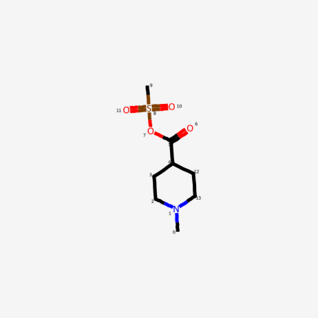 CN1CCC(C(=O)OS(C)(=O)=O)CC1